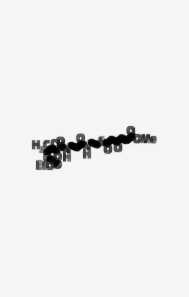 CCOP1(=O)OCC(C)(C)[C@H](C(=O)NCCC(=O)NCCSC(=O)CC(=O)/C=C/C(=O)OC)O1